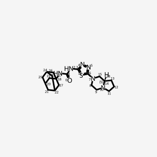 O=C(Nc1nnc(N2CCN3CCC[C@H]3C2)s1)NC12CC3CC(CC(C3)C1)C2